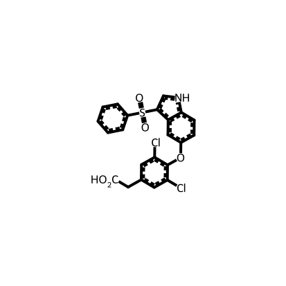 O=C(O)Cc1cc(Cl)c(Oc2ccc3[nH]cc(S(=O)(=O)c4ccccc4)c3c2)c(Cl)c1